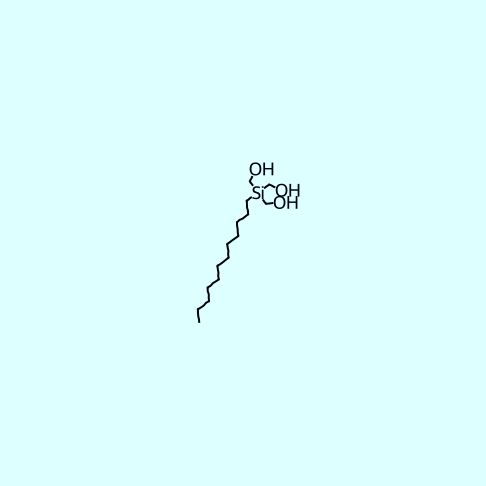 CCCCCCCCCCCC[Si](CO)(CO)CO